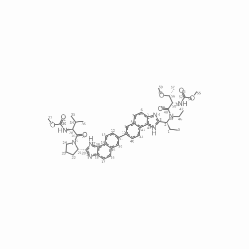 CC[C@@H](c1nc2ccc3cc(-c4ccc5c(ccc6nc([C@@H]7CCCN7C(=O)[C@@H](NC(=O)OC)C(C)C)[nH]c65)c4)ccc3c2[nH]1)N(CC)C(=O)[C@@H](NC(=O)OC)[C@@H](C)OC